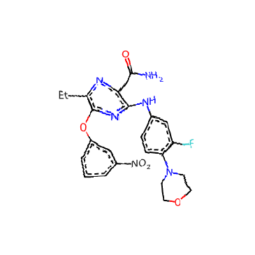 CCc1nc(C(N)=O)c(Nc2ccc(N3CCOCC3)c(F)c2)nc1Oc1cccc([N+](=O)[O-])c1